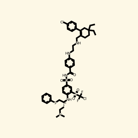 CCC1(CC)CCC(CNCCNc2ccc(C(=O)NS(=O)(=O)c3ccc(N[C@H](CCN(C)C)CSc4ccccc4)c(S(=O)(=O)C(F)(F)Cl)c3)cc2)=C(c2ccc(Cl)cc2)C1